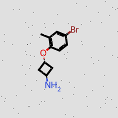 Cc1cc(Br)ccc1O[C@H]1C[C@H](N)C1